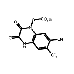 CCOC(=O)On1c(=O)c(=O)[nH]c2cc(C(F)(F)F)c(C#N)cc21